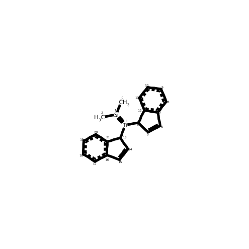 C[Si](C)=[Ti]([CH]1C=Cc2ccccc21)[CH]1C=Cc2ccccc21